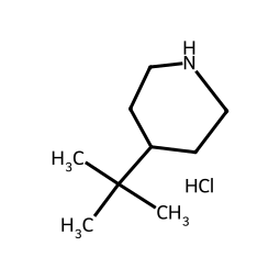 CC(C)(C)C1CCNCC1.Cl